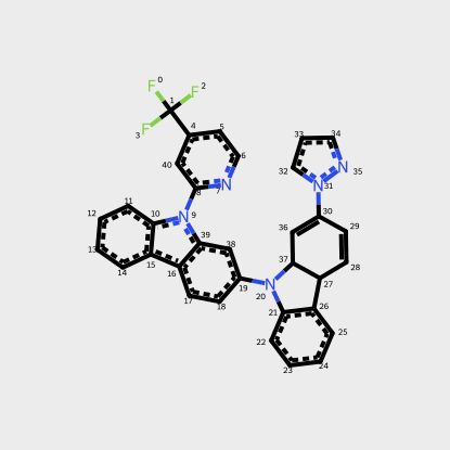 FC(F)(F)c1ccnc(-n2c3ccccc3c3ccc(N4c5ccccc5C5C=CC(n6cccn6)=CC54)cc32)c1